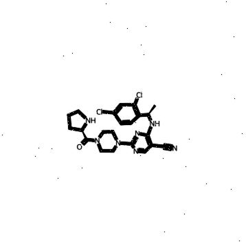 C[C@@H](Nc1nc(N2CCN(C(=O)[C@H]3CCCN3)CC2)ncc1C#N)c1ccc(Cl)cc1Cl